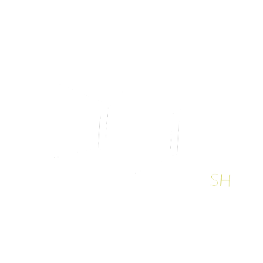 Sc1ccc2c(c1)C=CC2